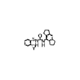 COc1ccccc1SNC(=O)Nc1c2c(cc3c1CCC3)CCC2